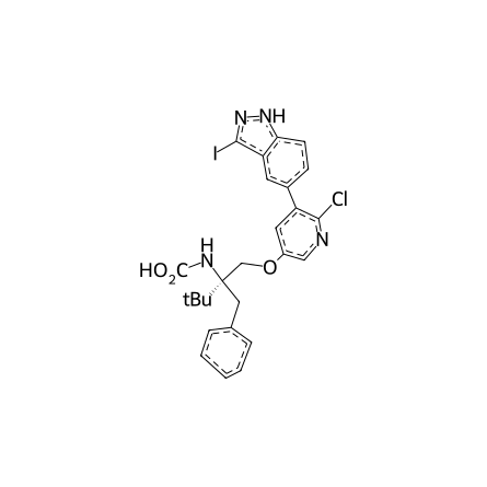 CC(C)(C)[C@](COc1cnc(Cl)c(-c2ccc3[nH]nc(I)c3c2)c1)(Cc1ccccc1)NC(=O)O